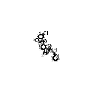 COc1ccc(Cl)cc1S(=O)(=O)c1ccc(C(C)C)c(S(=O)(=O)NCCc2ccccn2)c1